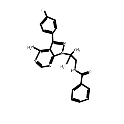 CC(C)(CNC(=O)c1ccccc1)n1nc(-c2ccc(Cl)cc2)c2c(N)ncnc21